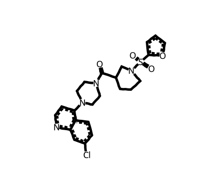 O=C(C1CCCN(S(=O)(=O)c2ccco2)C1)N1CCN(c2ccnc3cc(Cl)ccc23)CC1